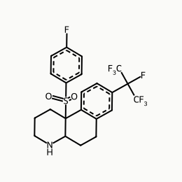 O=S(=O)(c1ccc(F)cc1)C12CCCNC1CCc1cc(C(F)(C(F)(F)F)C(F)(F)F)ccc12